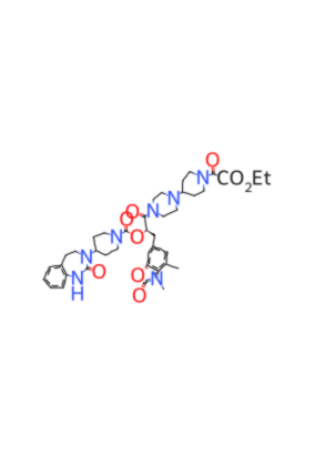 CCOC(=O)C(=O)N1CCC(N2CCN(C(=O)[C@@H](Cc3cc(C)c4c(c3)oc(=O)n4C)OC(=O)N3CCC(N4CCc5ccccc5NC4=O)CC3)CC2)CC1